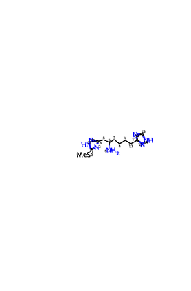 CSc1nc(CC(N)CCCCc2nc[nH]n2)n[nH]1